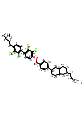 C=CCCc1ccc(-c2ccc(OCc3ccc(C4CCC5CC(CCC)CCC5C4)cc3)c(F)c2F)c(F)c1F